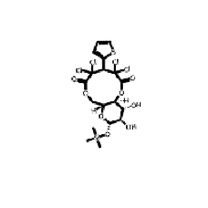 C[Si](C)(C)O[C@@H]1O[C@@H]2COC(=O)C(Cl)(Cl)C(c3cccs3)C(Cl)(Cl)C(=O)O[C@H]2[C@H](O)[C@H]1O